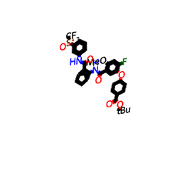 COc1cc(F)c(OC2CCC(C(=O)OC(C)(C)C)CC2)cc1C(=O)NC1C2CCC(C2)C1C(=O)Nc1cccc([S+]([O-])C(F)(F)F)c1